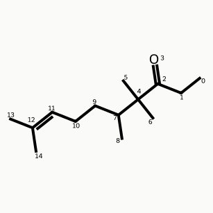 CCC(=O)C(C)(C)C(C)CCC=C(C)C